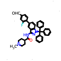 CN1CCC(C(=O)Nc2nn(C(c3ccccc3)(c3ccccc3)c3ccccc3)c3ccc(-c4ccc(C=O)cc4F)cc23)CC1